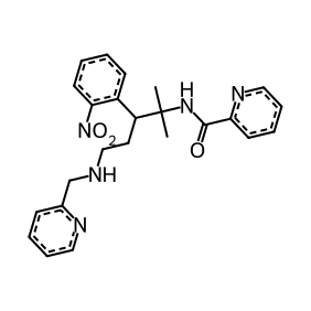 CC(C)(NC(=O)c1ccccn1)C(CCNCc1ccccn1)c1ccccc1[N+](=O)[O-]